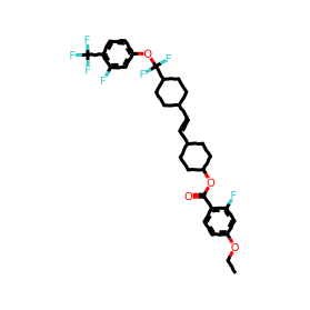 CCOc1ccc(C(=O)OC2CCC(/C=C/C3CCC(C(F)(F)Oc4ccc(C(F)(F)F)c(F)c4)CC3)CC2)c(F)c1